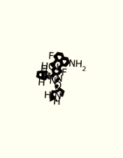 C#Cc1c(F)ccc2cc(N)cc(-c3ncc4c(N5C[C@H]6CC[C@@H](C5)N6)nc(OC[C@]56CCCN5[C@@H]5C[C@@H]5C6)nc4c3F)c12